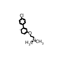 CN(C)CCOC1=CC[CH]C(c2ccc(Cl)cc2)=C1